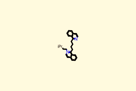 CC(C)CC[n+]1ccc2ccccc2c1CCCCc1nccc2ccccc12